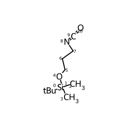 CC(C)(C)[Si](C)(C)OCCCN=C=O